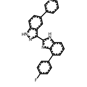 Fc1ccc(-c2cccc3[nH]c(-c4n[nH]c5ccc(-c6cccnc6)cc45)nc23)cc1